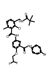 Cc1ccc(CNC(=O)C(C)(C)C)c(Cl)c1C(=O)Nc1ccc(OCC(F)F)c(C(=O)Nc2ccc(Br)cc2)c1